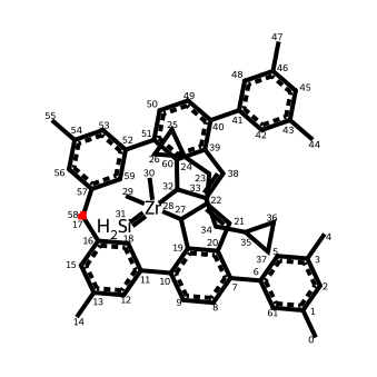 Cc1cc(C)cc(-c2ccc(-c3cc(C)cc(C)c3)c3c2C=C(CC2CC2)[CH]3[Zr]([CH3])([CH3])(=[SiH2])[CH]2C(CC3CC3)=Cc3c(-c4cc(C)cc(C)c4)ccc(-c4cc(C)cc(C)c4)c32)c1